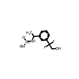 CC(N[S@+]([O-])C(C)(C)C)c1cccc(C(F)(F)CO)c1